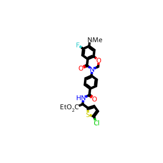 CCOC(=O)C(NC(=O)c1ccc(N2COc3cc(NC)c(F)cc3C2=O)cc1)c1ccc(Cl)s1